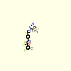 CC(C)/C(=N\C#N)N1CC(F)(c2ccc(C3=NOC(c4cc(F)cc(Cl)c4)(C(F)(F)F)C3)cc2)C1